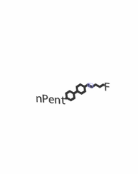 CCCCCC1CCC(C2CCC(/C=C/CCCF)CC2)CC1